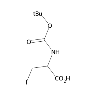 CC(C)(C)OC(=O)NC(CI)C(=O)O